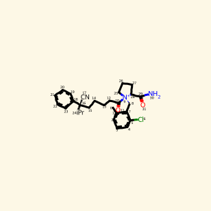 Cc1cccc(Cl)c1C[N@+]1(C(=O)CCCC[C@@](C#N)(c2ccccc2)C(C)C)CCCC1C(N)=O